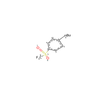 CCCCc1ccc(S(=O)(=O)C(F)(F)F)cc1